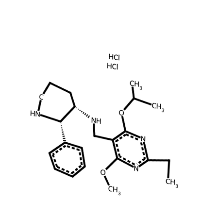 CCc1nc(OC)c(CN[C@H]2CCCN[C@H]2c2ccccc2)c(OC(C)C)n1.Cl.Cl